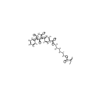 C=C(C)C(=O)OCCCCCCOC(=O)c1ccc(N2C(=O)CC(=O)N(c3ccccc3)C2=O)cc1